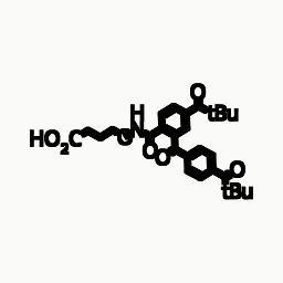 CC(C)(C)C(=O)c1ccc(C(=O)c2cc(C(=O)C(C)(C)C)ccc2C(=O)NOCCCC(=O)O)cc1